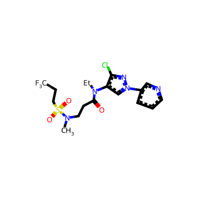 CCN(C(=O)CCN(C)S(=O)(=O)CCC(F)(F)F)c1cn(-c2cccnc2)nc1Cl